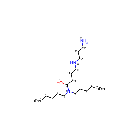 CCCCCCCCCCCCCCN(CCCCCCCCCCCCCC)C(O)CCCNCCCN